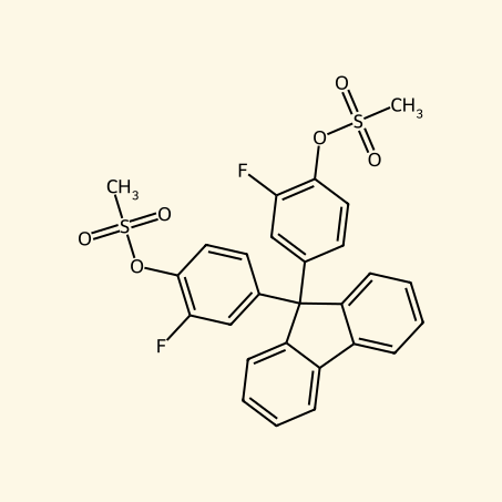 CS(=O)(=O)Oc1ccc(C2(c3ccc(OS(C)(=O)=O)c(F)c3)c3ccccc3-c3ccccc32)cc1F